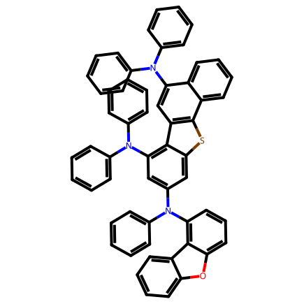 c1ccc(N(c2ccccc2)c2cc3c(sc4cc(N(c5ccccc5)c5cccc6oc7ccccc7c56)cc(N(c5ccccc5)c5ccccc5)c43)c3ccccc23)cc1